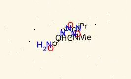 CNC(=O)N(CCC=O)c1cc(C(=O)N2CCC3(CCCN(CCCCCc4ccc(C(N)=O)cc4)C3)CC2)cc2c1ccn2C(C)C